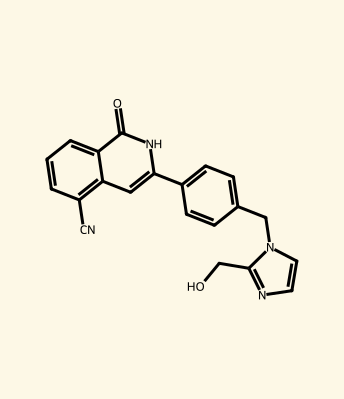 N#Cc1cccc2c(=O)[nH]c(-c3ccc(Cn4ccnc4CO)cc3)cc12